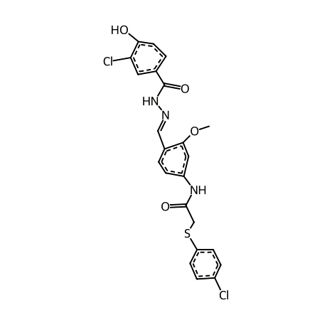 COc1cc(NC(=O)CSc2ccc(Cl)cc2)ccc1/C=N/NC(=O)c1ccc(O)c(Cl)c1